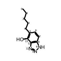 CCCCCc1ccc2[nH]nnc2c1O